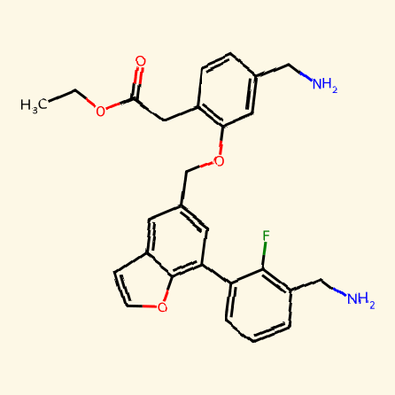 CCOC(=O)Cc1ccc(CN)cc1OCc1cc(-c2cccc(CN)c2F)c2occc2c1